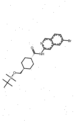 CC(C)(C)[Si](C)(C)OC[C@H]1CC[C@H](C(=O)Nc2cc3cc(Br)ccc3cn2)CC1